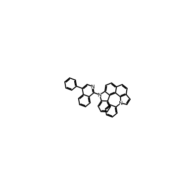 c1ccc(-c2cnc(-n3c4ccccc4c4c5c(ccc6ccn(-c7ccccc7)c65)ccc43)c3ccccc23)cc1